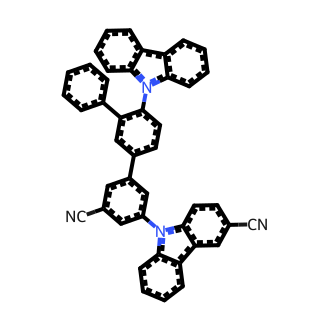 N#Cc1cc(-c2ccc(-n3c4ccccc4c4ccccc43)c(-c3ccccc3)c2)cc(-n2c3ccccc3c3cc(C#N)ccc32)c1